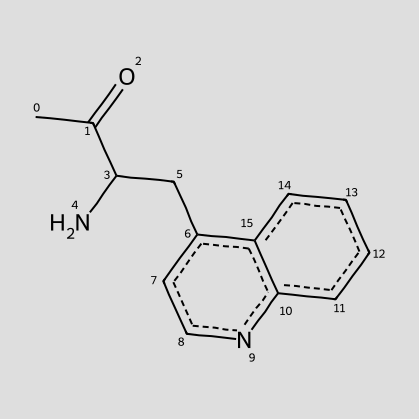 CC(=O)C(N)Cc1ccnc2ccccc12